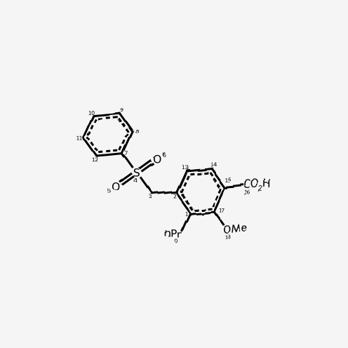 CCCc1c(CS(=O)(=O)c2ccccc2)ccc(C(=O)O)c1OC